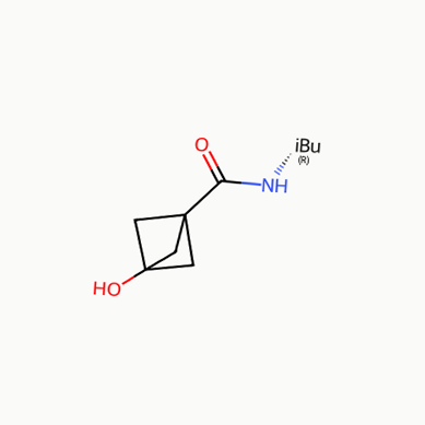 CC[C@@H](C)NC(=O)C12CC(O)(C1)C2